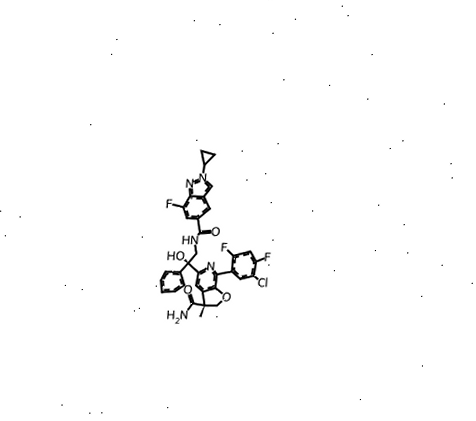 C[C@]1(C(N)=O)COc2c1cc([C@@](O)(CNC(=O)c1cc(F)c3nn(C4CC4)cc3c1)c1ccccc1)nc2-c1cc(Cl)c(F)cc1F